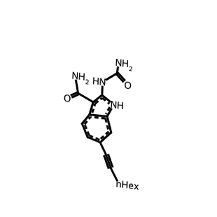 CCCCCCC#Cc1ccc2c(C(N)=O)c(NC(N)=O)[nH]c2c1